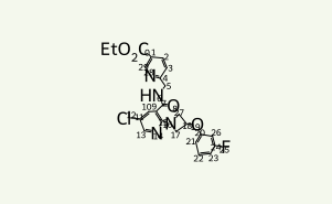 CCOC(=O)c1ccc(CNC(=O)c2cc(Cl)cnc2N2CC(Oc3cccc(F)c3)C2)nc1